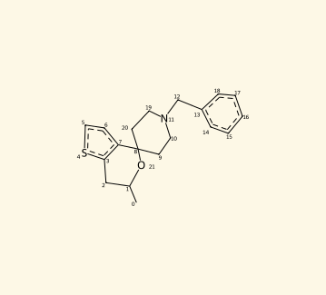 CC1Cc2sccc2C2(CCN(Cc3ccccc3)CC2)O1